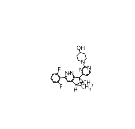 CC1(C)[C@H]2CCC1(c1ccnc(N3CCC(O)CC3)n1)c1nnc(-c3c(F)cccc3F)cc12